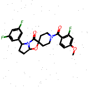 COc1ccc(C(=O)N2CCC3(CC2)OC2CCC(c4cc(F)cc(F)c4)N2C3=O)c(F)c1